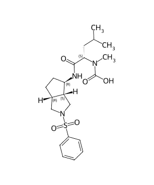 CC(C)C[C@@H](C(=O)N[C@@H]1CC[C@H]2CN(S(=O)(=O)c3ccccc3)C[C@H]21)N(C)C(=O)O